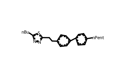 CCCCCc1ccc(-c2ccc(CCc3nnc(CCCC)s3)cc2)cc1